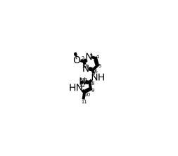 COc1nccc(Nc2cc(C)[nH]n2)n1